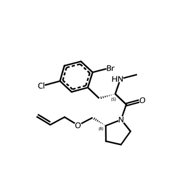 C=CCOC[C@H]1CCCN1C(=O)[C@H](Cc1cc(Cl)ccc1Br)NC